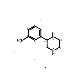 Nc1cccc(C2CNCCN2)c1